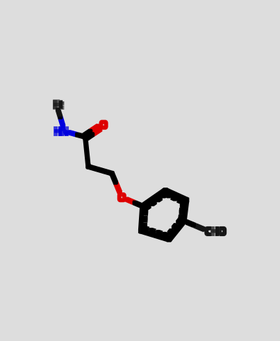 CCNC(=O)CCOc1ccc(C=O)cc1